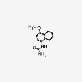 COc1ccc(NC(N)=O)c2ccccc12